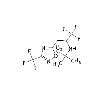 CC(C)(C)N[C@@H](Cc1nc(C(F)(F)F)no1)C(F)(F)F